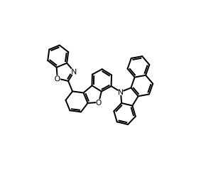 C1=Cc2oc3c(-n4c5ccccc5c5ccc6ccccc6c54)cccc3c2C(c2nc3ccccc3o2)C1